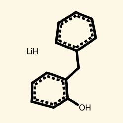 Oc1ccccc1Cc1ccccc1.[LiH]